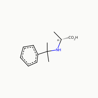 C[C@@H](NC(C)(C)c1ccccc1)C(=O)O